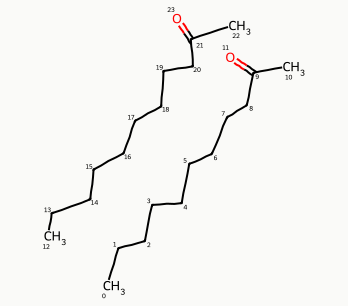 CCCCCCCCCC(C)=O.CCCCCCCCCC(C)=O